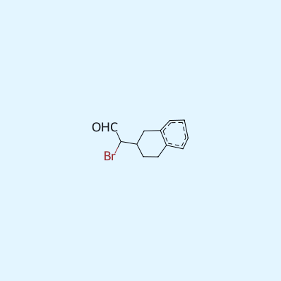 O=CC(Br)C1CCc2ccccc2C1